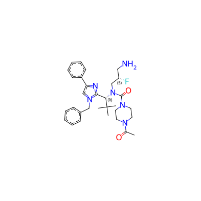 CC(=O)N1CCN(C(=O)N(C[C@@H](F)CN)[C@@H](c2nc(-c3ccccc3)cn2Cc2ccccc2)C(C)(C)C)CC1